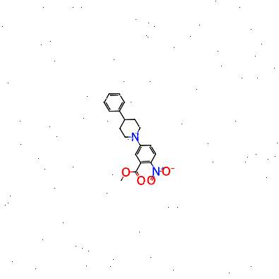 COC(=O)c1cc(N2CCC(c3ccccc3)CC2)ccc1[N+](=O)[O-]